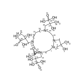 CC(C)(O)CN1CCCN(CC(O)(P(=O)(O)O)P(=O)(O)O)CCN(CC(C)(O)P(=O)(O)O)CCCN(CC(C)(O)P(=O)(O)O)CC1